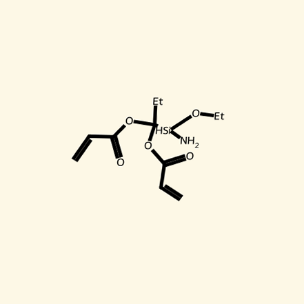 C=CC(=O)OC(CC)(OC(=O)C=C)[SiH](N)OCC